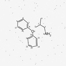 CC(C)[CH2][AlH2].c1ccc(Oc2ccccc2)cc1